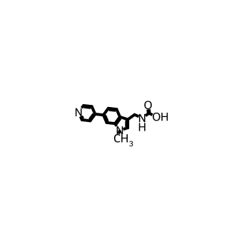 Cn1cc(CNC(=O)O)c2ccc(-c3ccncc3)cc21